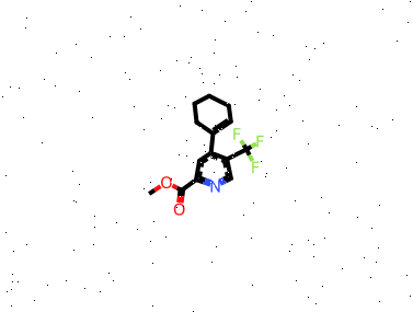 COC(=O)c1cc(C2=CCCCC2)c(C(F)(F)F)cn1